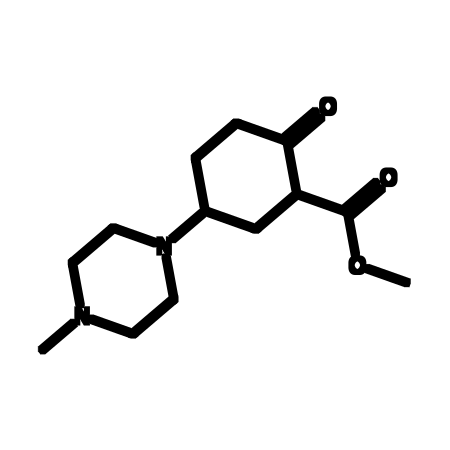 COC(=O)C1CC(N2CCN(C)CC2)CCC1=O